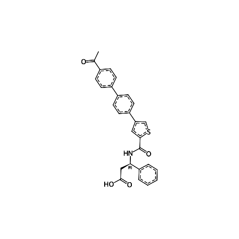 CC(=O)c1ccc(-c2ccc(-c3csc(C(=O)N[C@H](CC(=O)O)c4ccccc4)c3)cc2)cc1